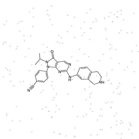 CC(C)n1c(=O)c2cnc(Nc3ccc4c(c3)CNCC4)nc2n1-c1ccc(C#N)cc1